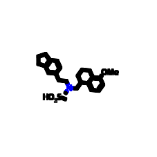 COc1cccc2c1CCCC2CN(C)CCc1ccc2c(c1)CCC2.CS(=O)(=O)O